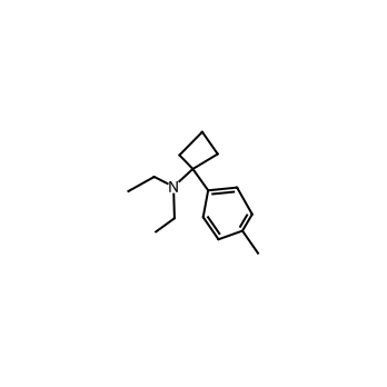 CCN(CC)C1(c2ccc(C)cc2)CCC1